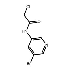 O=C(CCl)Nc1cncc(Br)c1